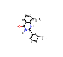 Cn1c(-c2cccc(C(F)(F)F)c2)nc2c([N+](=O)[O-])cccc2c1=O